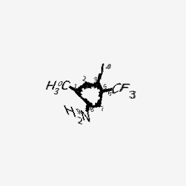 Cc1cc(I)c(C(F)(F)F)cc1N